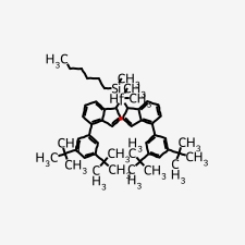 CCCCCC[Si](C)=[Hf]([CH3])([CH3])([CH]1C=Cc2c(-c3cc(C(C)(C)C)cc(C(C)(C)C)c3)cccc21)[CH]1C=Cc2c(-c3cc(C(C)(C)C)cc(C(C)(C)C)c3)cccc21